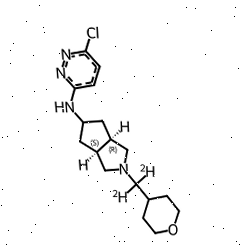 [2H]C([2H])(C1CCOCC1)N1C[C@H]2CC(Nc3ccc(Cl)nn3)C[C@H]2C1